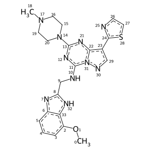 COc1cccc2nc(CNc3nc(N4CCN(C)CC4)nc4c(-c5nccs5)cnn34)[nH]c12